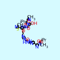 Cc1cc([C@H](C(=O)N2C[C@H](O)C[C@H]2C(=O)NCc2ccc(-c3scnc3C)cc2OCCCN2CCN(CC(=O)Nc3cn4cc(-c5cncc(N(C)C(=O)OC(C)C)c5)ccc4n3)CC2)C(C)C)on1